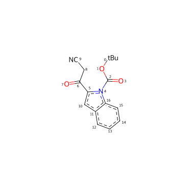 CC(C)(C)OC(=O)n1c(C(=O)CC#N)cc2ccccc21